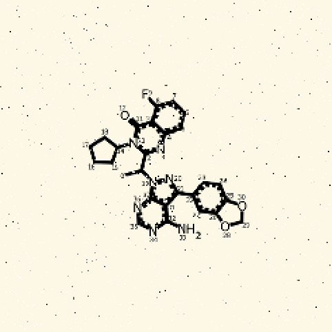 CC(c1nc2cccc(F)c2c(=O)n1C1CCCC1)n1nc(-c2ccc3c(c2)OCO3)c2c(N)ncnc21